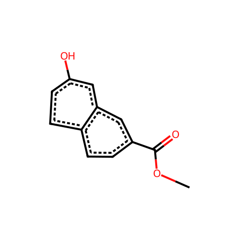 COC(=O)c1ccc2ccc(O)cc2c1